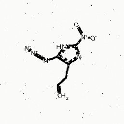 C=CCc1nc([N+](=O)[O-])[nH]c1N=[N+]=[N-]